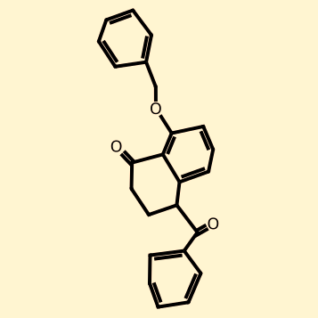 O=C1CCC(C(=O)c2ccccc2)c2cccc(OCc3ccccc3)c21